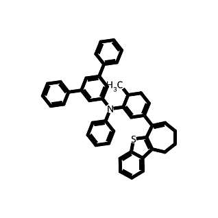 CC1CC=C(C2=CCCCc3c2sc2ccccc32)C=C1N(c1ccccc1)c1cc(-c2ccccc2)cc(-c2ccccc2)c1